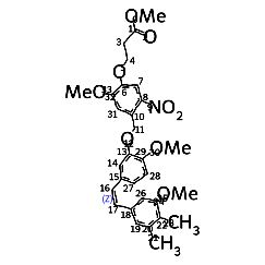 COC(=O)CCOc1cc([N+](=O)[O-])c(COc2cc(/C=C\c3cc(C)c(C)c(OC)c3)ccc2OC)cc1OC